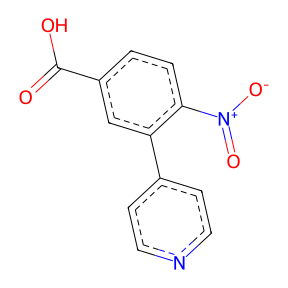 O=C(O)c1ccc([N+](=O)[O-])c(-c2ccncc2)c1